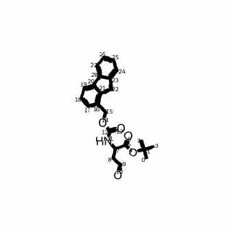 CC(C)(C)OC(=O)C(CC=O)NC(=O)OCc1cccc2c1Cc1ccccc1-2